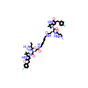 CC[C@H](N)C(=O)N[C@@H](CCC(=O)NCC#CC#CCNC(=O)CC[C@H](NC(=O)[C@@H](N)CC)C(=O)N1CC(C)(C)c2[nH]c(=O)c(Cc3ccc(F)cc3)cc21)C(=O)N1CC(C)(C)c2[nH]c(=O)c(Cc3ccc(F)cc3)cc21